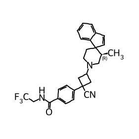 C[C@H]1CN(C2CC(C#N)(c3ccc(C(=O)NCC(F)(F)F)cc3)C2)CCC12C=Cc1ccccc12